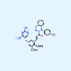 CCc1ccc(C2c3ccccc3C=NN2C(=O)C=Cc2cc(Cc3cnc(N)nc3N)cc(OC)c2OC)cc1